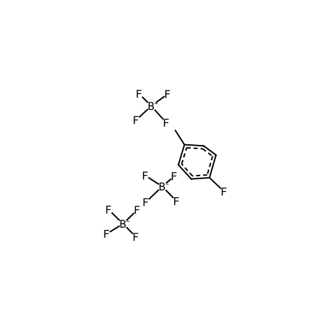 Cc1ccc(F)cc1.F[B-](F)(F)F.F[B-](F)(F)F.F[B-](F)(F)F